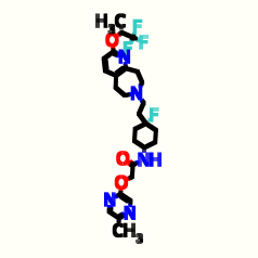 Cc1cnc(OCC(=O)N[C@H]2CC[C@](F)(CCN3CCc4ccc(O[C@H](C)C(F)(F)F)nc4CC3)CC2)cn1